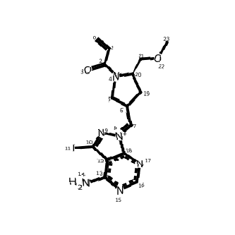 C=CC(=O)N1CC(/C=[N+]2\N=C(I)c3c(N)ncnc32)C[C@@H]1COC